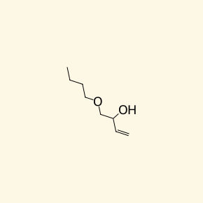 C=CC(O)COCCCC